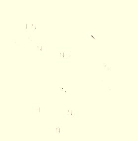 Cc1nccn1-c1cc(C(=O)N2CCC[C@H](COc3cccc4c3C(N)=N[S+]([O-])N4)C2)ccn1